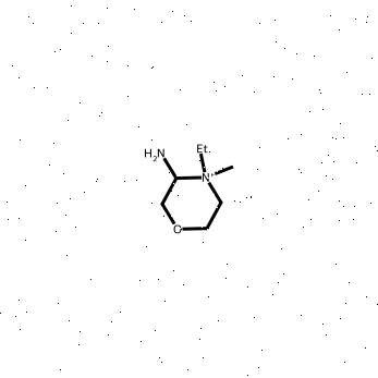 CC[N+]1(C)CCOCC1N